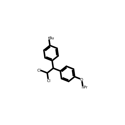 CCCOc1ccc(C(c2ccc(C(C)(C)C)cc2)C(Cl)Cl)cc1